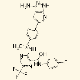 C[C@@H](Nc1ncc(C(F)(F)F)nc1C(O)Nc1ccc(F)cc1)c1ccc(-c2cnc3[nH]nc(N)c3c2)cc1